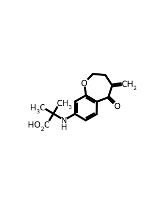 C=C1CCOc2cc(NC(C)(C)C(=O)O)ccc2C1=O